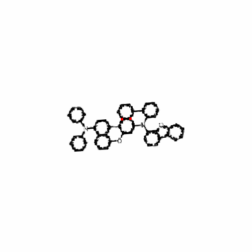 c1ccc(-c2ccccc2N(c2ccc3c(c2)Oc2cccc4c(N(c5ccccc5)c5ccccc5)ccc-3c24)c2cccc3c2oc2ccccc23)cc1